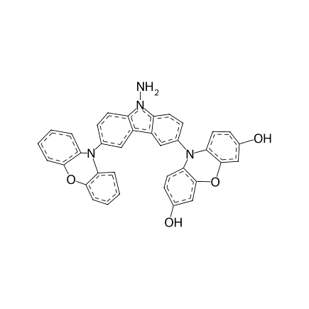 Nn1c2ccc(N3c4ccccc4Oc4ccccc43)cc2c2cc(N3c4ccc(O)cc4Oc4cc(O)ccc43)ccc21